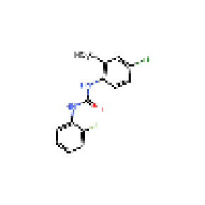 O=C(Nc1ccccc1F)Nc1ccc(Cl)cc1C(=O)O